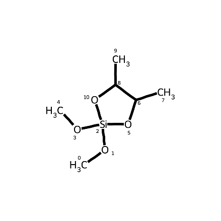 CO[Si]1(OC)OC(C)C(C)O1